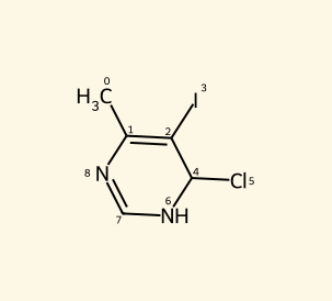 CC1=C(I)C(Cl)NC=N1